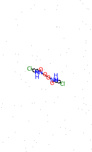 O=C(NCCOCCOCCNC(=O)c1cc2cc(Cl)ccc2[nH]1)c1cc2cc(Cl)ccc2[nH]1